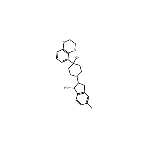 OC1c2ccc(F)cc2CC1N1CCC(O)(c2cccc3c2OCCO3)CC1